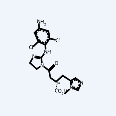 Cn1cncc1C[C@@H](CC(=O)N1CCN=C1Nc1c(Cl)cc(N)cc1Cl)C(=O)O